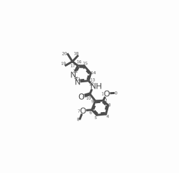 COc1cccc(OC)c1C(=O)Nc1ccc(C(C)(C)C)nn1